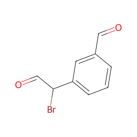 O=Cc1cccc(C(Br)C=O)c1